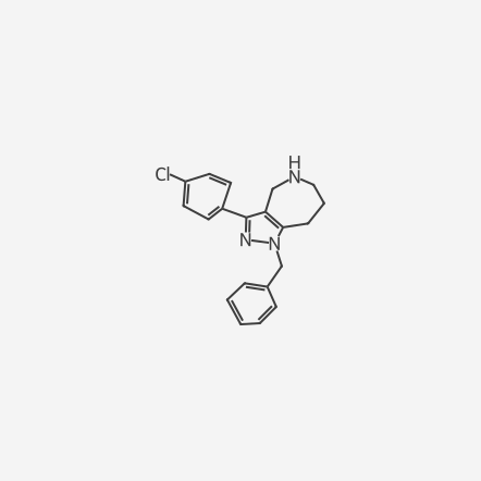 Clc1ccc(-c2nn(Cc3ccccc3)c3c2CNCCC3)cc1